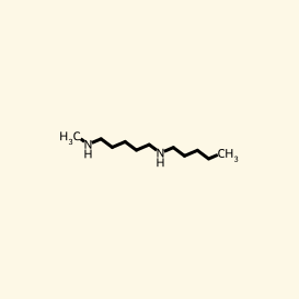 CCCCCNCCCCCNC